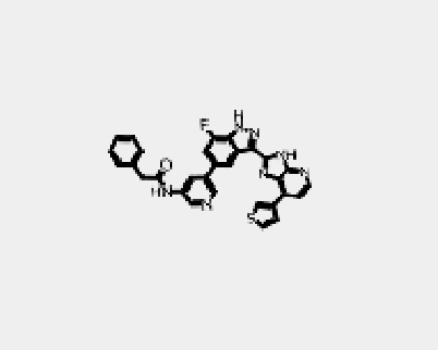 O=C(Cc1ccccc1)Nc1cncc(-c2cc(F)c3[nH]nc(-c4nc5c(-c6ccsc6)ccnc5[nH]4)c3c2)c1